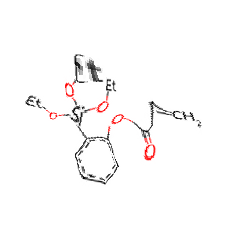 C=CC(=O)Oc1ccccc1[Si](OCC)(OCC)OCC